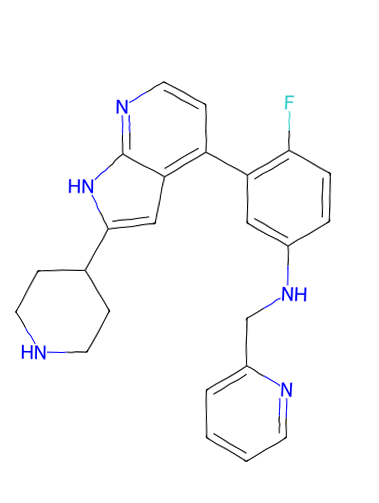 Fc1ccc(NCc2ccccn2)cc1-c1ccnc2[nH]c(C3CCNCC3)cc12